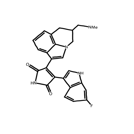 CNCC1Cc2cccc3c(C4=C(c5c[nH]c6cc(F)ccc56)C(=O)NC4=O)cn(c23)C1